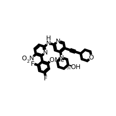 COc1cc(F)cc(F)c1-c1nc(Nc2cc(N3CCC[C@H](O)C3)c(C#CC3CCOCC3)cn2)ccc1[N+](=O)[O-]